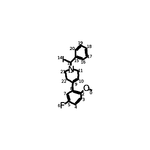 COc1ccc(F)cc1C1=CCN(C(I)c2ccccc2)CC1